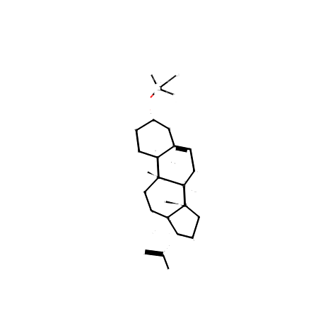 C=C(C)[C@H]1CC[C@H]2[C@@H]3CC=C4C[C@@H](O[Si](C(C)C)(C(C)C)C(C)C)CC[C@]4(C)[C@H]3CC[C@]12C